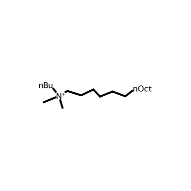 CCCCCCCCCCCCCC[N+](C)(C)CCCC